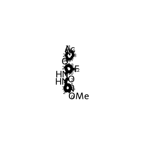 COc1ccc(NC(=O)Nc2cc(F)cc(O[C@H]3CCCN(C(C)=O)C3)c2)cn1